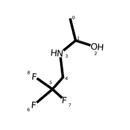 [CH2]C(O)NCC(F)(F)F